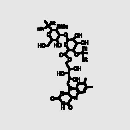 CCCC(C)(CC)C1OC(CO)C(O)C(OC2OC(C(=O)OCC(O)C(O)C(O)Cn3c4nc(=O)[nH]c(=O)c-4nc4cc(C)c(C)cc43)C(OC(C)(CC)CC)C(O)C2O)C1NC